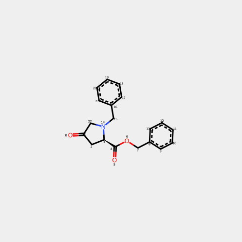 O=C1C[C@H](C(=O)OCc2ccccc2)N(Cc2ccccc2)C1